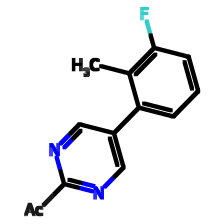 CC(=O)c1ncc(-c2cccc(F)c2C)cn1